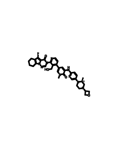 C[C@H]1CN(C2COC2)CCN1c1ccc(Nc2cc(-c3ccnc(-n4cnn5c6c(c(F)c5c4=O)CCCC6)c3CO)cn(C)c2=O)nc1